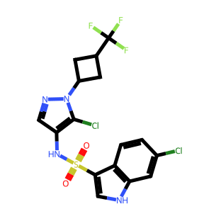 O=S(=O)(Nc1cnn(C2CC(C(F)(F)F)C2)c1Cl)c1c[nH]c2cc(Cl)ccc12